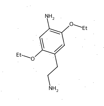 CCOc1cc(CCN)c(OCC)cc1N